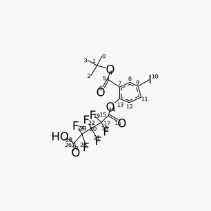 CC(C)(C)OC(=O)c1cc(I)ccc1OC(=O)C(F)(F)C(F)(F)C(F)(F)C(=O)O